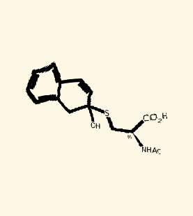 CC(=O)N[C@@H](CSC1(O)C=Cc2ccccc2C1)C(=O)O